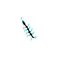 FC#CC(F)(F)C(F)(F)C(F)(F)C(F)(F)C(F)F